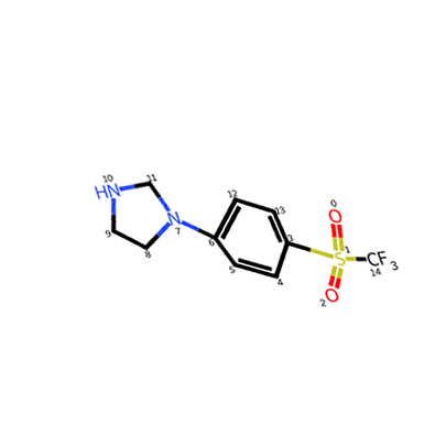 O=S(=O)(c1ccc(N2CCNC2)cc1)C(F)(F)F